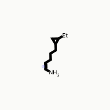 CCC1CC1CCC/C=C\N